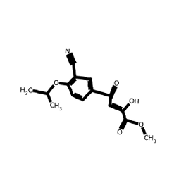 COC(=O)/C(O)=C/C(=O)c1ccc(OC(C)C)c(C#N)c1